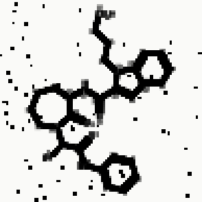 CC(C)[C@H](C(=O)Nc1ccccc1)N1CCCCC(NC(=O)c2cc3ccccc3n2CCCC(=O)O)C1=O